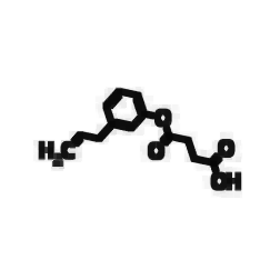 C=CCc1cccc(OC(=O)CCC(=O)O)c1